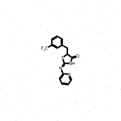 O=C1N/C(=N\c2ccccn2)SC1Cc1cccc(C(F)(F)F)c1